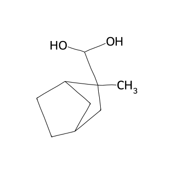 CC1(C(O)O)CC2CCC1C2